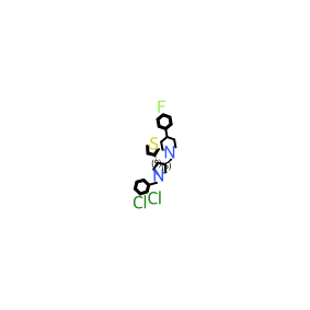 Fc1ccc(C2CCN(C[C@H]3CN(Cc4cccc(Cl)c4Cl)C[C@@H]3c3ccsc3)CC2)cc1